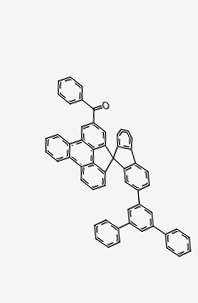 O=C(c1ccccc1)c1cc2c3c(c1)c1ccccc1c1cccc(c13)C21c2ccccc2-c2ccc(-c3cc(-c4ccccc4)cc(-c4ccccc4)c3)cc21